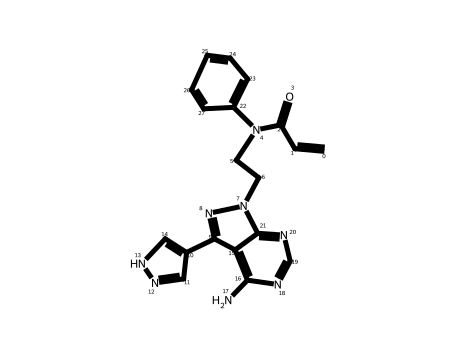 C=CC(=O)N(CCn1nc(-c2cn[nH]c2)c2c(N)ncnc21)c1ccccc1